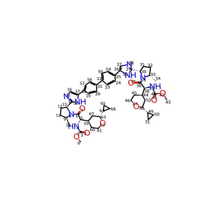 COC(=O)N[C@H](C(=O)N1[C@@H](C)CC[C@H]1c1ncc(-c2ccc(-c3ccc(-c4cnc([C@@H]5CC[C@H](C)N5C(=O)[C@@H](NC(=O)OC)[C@@H]5CCO[C@@H](C6CC6)C5)[nH]4)cc3)cc2)[nH]1)[C@@H]1CCO[C@@H](C2CC2)C1